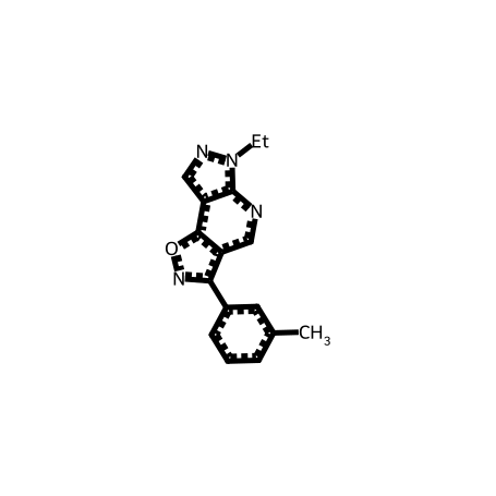 CCn1ncc2c3onc(-c4cccc(C)c4)c3cnc21